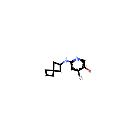 FC(F)(F)c1cc(NC2CC3(CCC3)C2)ncc1Br